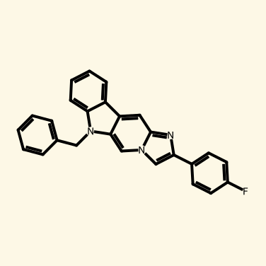 Fc1ccc(-c2cn3cc4c(cc3n2)c2ccccc2n4Cc2ccccc2)cc1